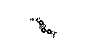 O=C(O)Cc1cccc(S(=O)(=O)c2cccc(-c3ccc(OC(F)(F)F)cc3)c2)c1